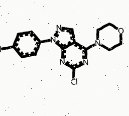 Clc1ccc(-n2ncc3c(N4CCOCC4)nc(Cl)nc32)cc1